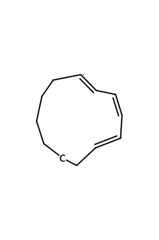 [C]1=C/C=C\C=C\CCCCCC/1